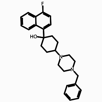 OC1(c2ccc(F)c3ccccc23)CCC(N2CCN(Cc3ccccc3)CC2)CC1